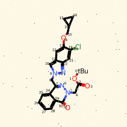 CC(C)(C)OC(=O)Cn1nc(Cn2cc3cc(OCC4CC4)c(Cl)cc3n2)c2ccccc2c1=O